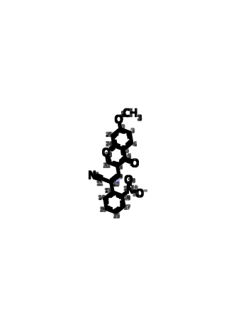 COc1ccc2c(=O)c(/C=C(\C#N)c3ccccc3[N+](=O)[O-])coc2c1